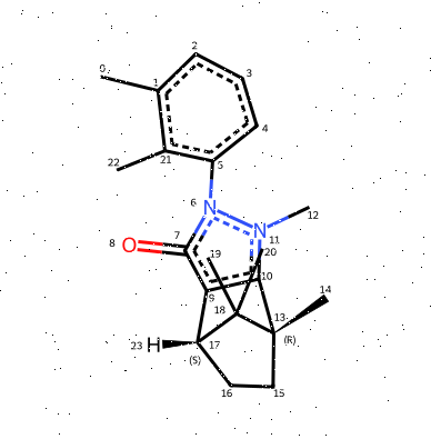 Cc1cccc(-n2c(=O)c3c(n2C)[C@]2(C)CC[C@H]3C2(C)C)c1C